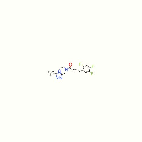 O=C(C=CCc1cc(F)c(F)cc1F)N1CCn2c(nnc2C(F)(F)F)C1